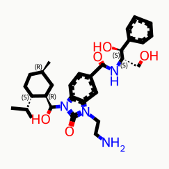 CC(C)[C@@H]1CC[C@@H](C)C[C@H]1C(O)n1c(=O)n(CCN)c2cc(C(=O)N[C@@H](CO)[C@@H](O)c3ccccc3)ccc21